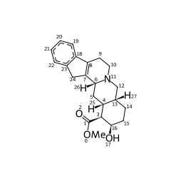 COC(=O)[C@H]1[C@@H]2C[C@@H]3C4=C(CCN3C[C@@H]2CC[C@H]1O)c1ccccc1C4